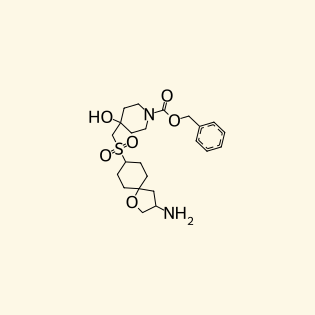 NC1COC2(CCC(S(=O)(=O)CC3(O)CCN(C(=O)OCc4ccccc4)CC3)CC2)C1